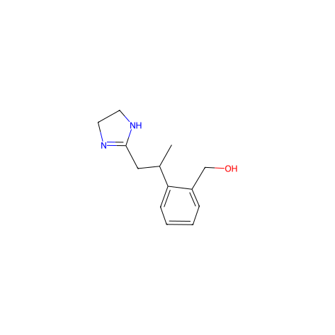 CC(CC1=NCCN1)c1ccccc1CO